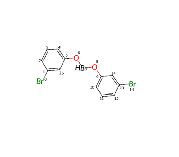 Brc1cccc(OBOc2cccc(Br)c2)c1